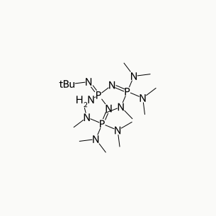 CN(C)P(=NP(N)(=NC(C)(C)C)N=P(N(C)C)(N(C)C)N(C)C)(N(C)C)N(C)C